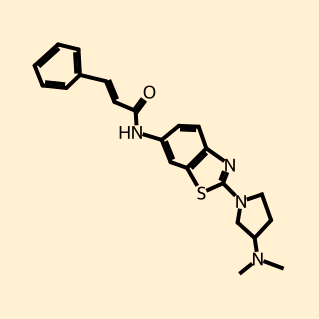 CN(C)C1CCN(c2nc3ccc(NC(=O)C=Cc4ccccc4)cc3s2)C1